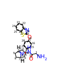 NCC(=O)N[C@H]1C[C@H]2CC[C@@H](C1)N2Cc1ccc(Oc2nc3ccccc3s2)cc1